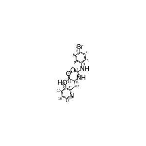 O=C(Nc1ccc(Br)cc1)NC(Cc1ccccn1)C(=O)O